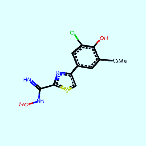 COc1cc(-c2csc(C(=N)NO)n2)cc(Cl)c1O